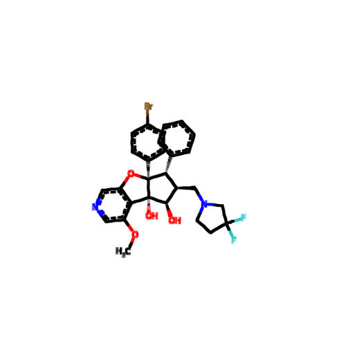 COc1cncc2c1[C@]1(O)[C@H](O)[C@H](CN3CCC(F)(F)C3)[C@@H](c3ccccc3)[C@]1(c1ccc(Br)cc1)O2